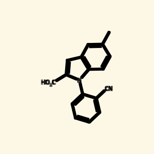 Cc1ccc2c(c1)cc(C(=O)O)n2-c1ccccc1C#N